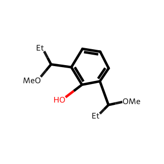 CCC(OC)c1cccc(C(CC)OC)c1O